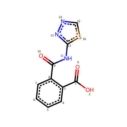 O=C(O)c1ccccc1C(=O)Nc1nn[c]s1